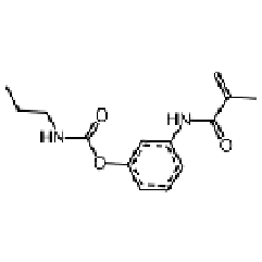 C=C(C)C(=O)Nc1cccc(OC(=O)NCCC)c1